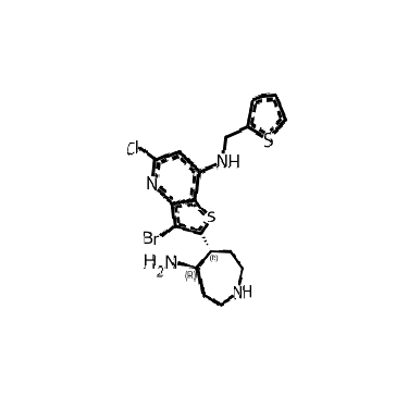 N[C@@H]1CCNCC[C@H]1c1sc2c(NCc3cccs3)cc(Cl)nc2c1Br